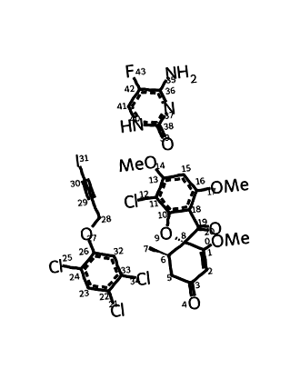 COC1=CC(=O)C[C@@H](C)[C@]12Oc1c(Cl)c(OC)cc(OC)c1C2=O.Clc1cc(Cl)c(OCC#CI)cc1Cl.Nc1nc(=O)[nH]cc1F